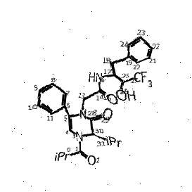 CC(C)C(=O)N1C=C(c2ccccc2)N(CC(=O)NC(Cc2ccccc2)C(O)C(F)(F)F)C(=O)[C@H]1C(C)C